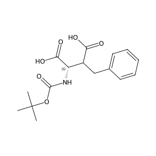 CC(C)(C)OC(=O)N[C@H](C(=O)O)C(Cc1ccccc1)C(=O)O